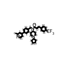 Cc1cc(-c2ccc(CN(C(=O)C=Cc3ccc(C(F)(F)F)cc3)C3CCN(C4CCCC4)CC3)cc2)ccn1